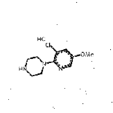 COc1cnc(N2CCNCC2)c(Cl)c1.Cl